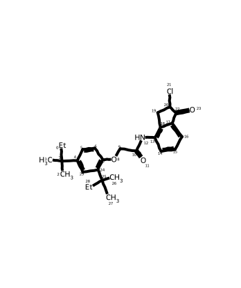 CCC(C)(C)c1ccc(OCC(=O)Nc2cccc3c2CC(Cl)C3=O)c(C(C)(C)CC)c1